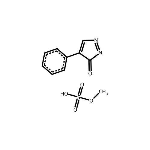 COS(=O)(=O)O.O=C1N=NC=C1c1ccccc1